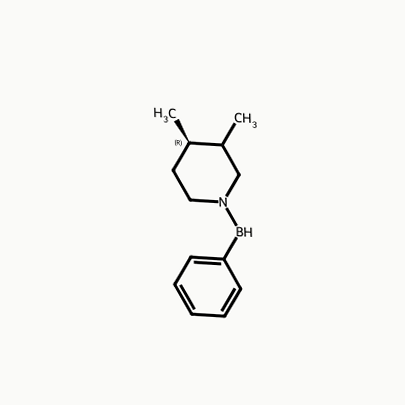 CC1CN(Bc2ccccc2)CC[C@H]1C